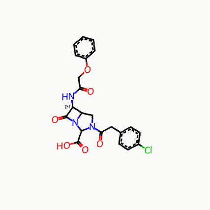 O=C(COc1ccccc1)N[C@@H]1C(=O)N2C1CN(C(=O)Cc1ccc(Cl)cc1)C2C(=O)O